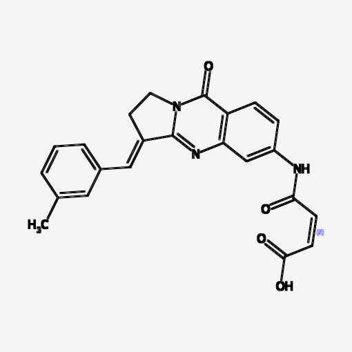 Cc1cccc(C=C2CCn3c2nc2cc(NC(=O)/C=C\C(=O)O)ccc2c3=O)c1